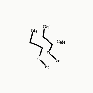 CCOCCO.CCOCCO.[NaH]